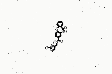 O=C(NCc1cnc(Cl)s1)c1ccc2c(c1)NC(=O)c1ccccc1S2